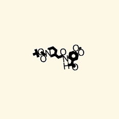 CC(=O)c1cc2c(cc1NC(=O)CC1CCCN(C(=O)OC(C)(C)C)C1)OCO2